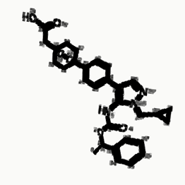 C[C@@H](OC(=O)Nc1c(-c2ccc(C34CCC(CC(=O)O)(CC3)OC4)cc2)cnn1CC1CC1)c1ccccc1